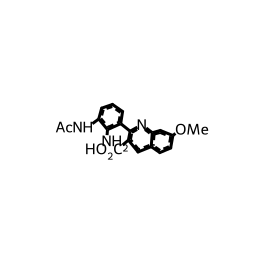 COc1ccc2cc(C(=O)O)c(-c3cccc(NC(C)=O)c3N)nc2c1